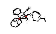 CCN1CCN(CC(=O)OC2CC3CCC(C2)N3c2ccc(C#N)c3ccccc23)CC1